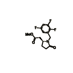 COC(=O)C[C@@H]1CCC(=O)N1Cc1cc(F)cc(F)c1F